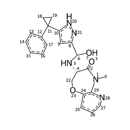 CN1C(=O)[C@@H](NC(O)c2cc(C3(c4ccccc4)CC3)[nH]n2)COc2cccnc21